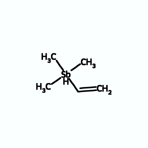 C=[CH][SbH]([CH3])([CH3])[CH3]